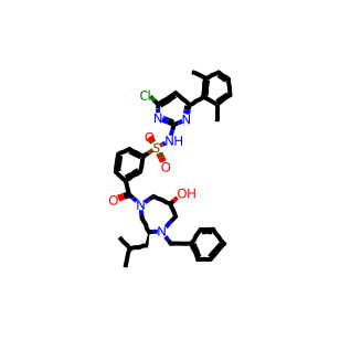 Cc1cccc(C)c1-c1cc(Cl)nc(NS(=O)(=O)c2cccc(C(=O)N3CC(O)CN(Cc4ccccc4)[C@@H](CC(C)C)C3)c2)n1